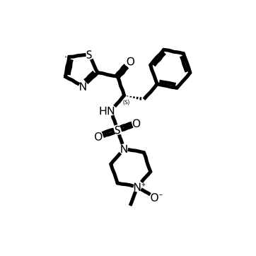 C[N+]1([O-])CCN(S(=O)(=O)N[C@@H](Cc2ccccc2)C(=O)c2nc[c]s2)CC1